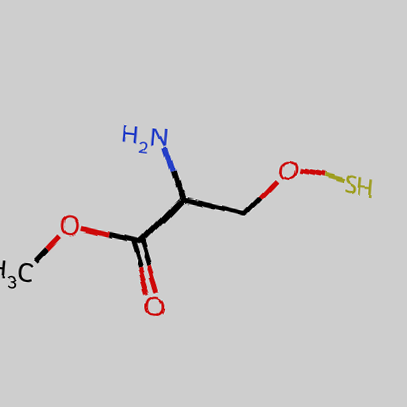 COC(=O)C(N)COS